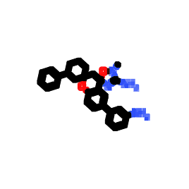 CN1OC2(CC3(CCCC(c4ccccc4)C3)Oc3ccc(-c4cccc(N)c4)cc32)N=C1N